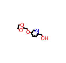 OCc1ccc(OCC2OCCO2)cn1